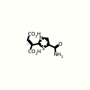 NC(=O)c1cnc(/C(=C\C(=O)O)C(=O)O)s1